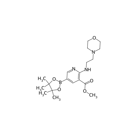 COC(=O)c1cc(B2OC(C)(C)C(C)(C)O2)cnc1NCCN1CCOCC1